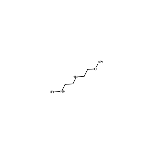 CCCOCCNCCNC(C)C